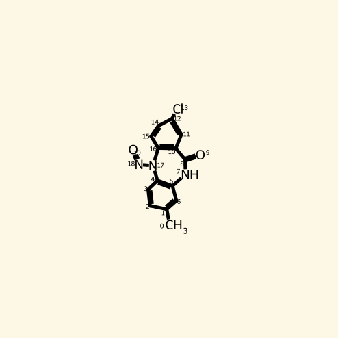 Cc1ccc2c(c1)NC(=O)c1cc(Cl)ccc1N2N=O